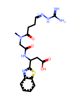 CN(CC(=O)NC(CC(=O)O)c1nc2ccccc2s1)C(=O)CC/C=N\NC(=N)N